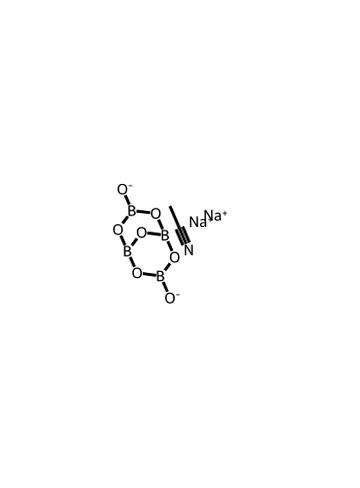 CC#N.[Na+].[Na+].[O-]B1OB2OB([O-])OB(O1)O2